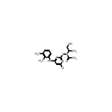 CC(=O)N(Sc1nc(Cl)cc(Nc2cccc(C)c2C)n1)C(C)CO